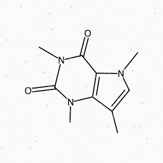 Cc1cn(C)c2c(=O)n(C)c(=O)n(C)c12